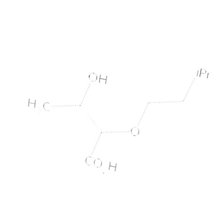 CC(C)CCOC(C(=O)O)C(C)O